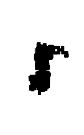 COC(=O)C1CCCN1S(=O)(=O)c1ccc(C(=O)Oc2c(F)c(F)c(F)c(F)c2F)cc1